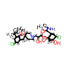 CNC(=O)c1cc(Cl)c(O)cc1OC[C@@H](O)CN1CCC2(CC1)Cc1cc(Cl)cc(C(C)(C)C)c1O2